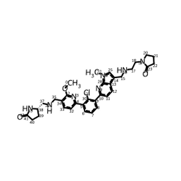 COc1nc(-c2cccc(-c3ccc4c(CNCCN5CCCC5=O)cn(C)c4n3)c2Cl)ccc1CNC[C@@H]1CCC(=O)N1